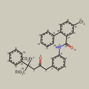 CCOC(=O)C(CC(=O)Cc1cccc(NC(=O)c2cc(C(F)(F)F)ccc2-c2ccccc2)c1)(C(=O)OCC)c1ccccc1